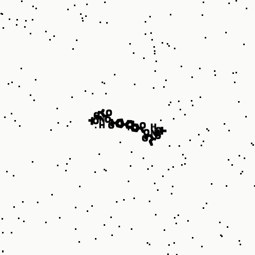 CCC(C)[C@H](NC(=O)OC(C)(C)C)C(=O)OCC(=O)c1ccc2cc(-c3ccc(C(=O)COC(=O)[C@@H](NC(=O)OC(C)(C)C)C(C)C)cc3)ccc2c1